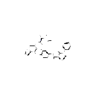 C=NN(C)/C(C)=C(\C)Nc1cc(Oc2ccc(NC(=O)c3cccn(-c4ccc(F)cc4)c3=O)cc2F)c2ccnn2c1